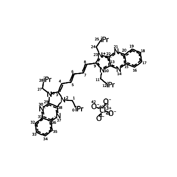 CC(C)CN1C(=C/C=C/C=C/c2n(CC(C)C)c3nc4ccccc4nc3[n+]2CC(C)C)N(CC(C)C)c2nc3ccccc3nc21.[O-][Cl+3]([O-])([O-])[O-]